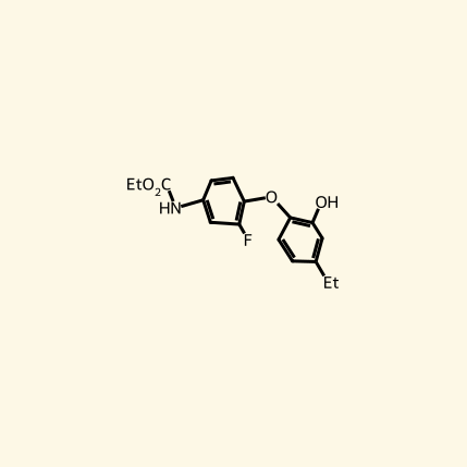 CCOC(=O)Nc1ccc(Oc2ccc(CC)cc2O)c(F)c1